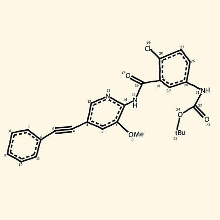 COc1cc(C#Cc2ccccc2)cnc1NC(=O)c1cc(NC(=O)OC(C)(C)C)ccc1Cl